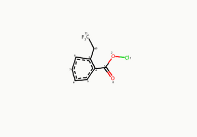 O=C(OCl)c1ccccc1CC(F)(F)F